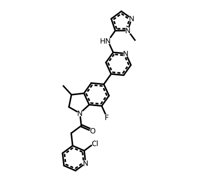 CC1CN(C(=O)Cc2cccnc2Cl)c2c(F)cc(-c3ccnc(Nc4ccnn4C)c3)cc21